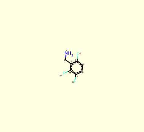 NCc1c(F)c[c]c(F)c1F